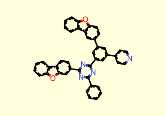 c1ccc(-c2nc(-c3cc(-c4ccncc4)cc(-c4ccc5oc6ccccc6c5c4)c3)nc(-c3ccc4c(c3)oc3ccccc34)n2)cc1